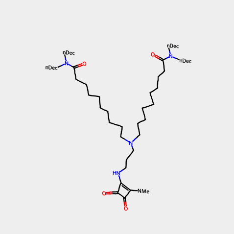 CCCCCCCCCCN(CCCCCCCCCC)C(=O)CCCCCCCCCN(CCCCCCCCCC(=O)N(CCCCCCCCCC)CCCCCCCCCC)CCCNc1c(NC)c(=O)c1=O